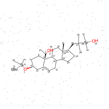 CC(O)[C@]12CC[C@H](O[Si](C)(C)C(C)(C)C)CC1=CCC1C2CC[C@@]2(C)C1CC[C@@H]2CC(C)(C)[Si](C)(C)O